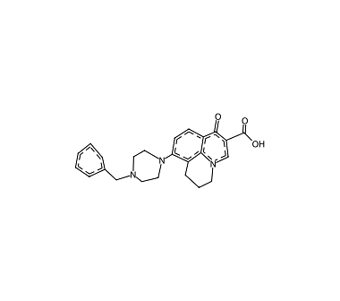 O=C(O)c1cn2c3c(c(N4CCN(Cc5ccccc5)CC4)ccc3c1=O)CCC2